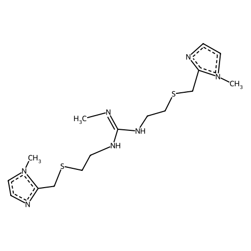 CN=C(NCCSCc1nccn1C)NCCSCc1nccn1C